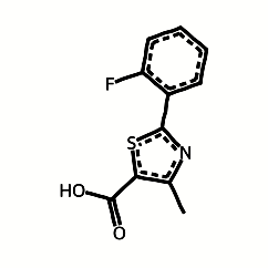 Cc1nc(-c2ccccc2F)sc1C(=O)O